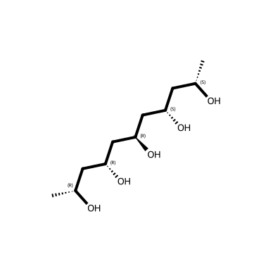 C[C@H](O)C[C@H](O)C[C@@H](O)C[C@H](O)C[C@@H](C)O